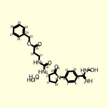 Cl.N=C(NO)c1ccc(N2CC[C@H](NC(=O)NCCC(=O)OCc3ccccc3)C2=O)cc1.O